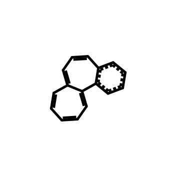 C1=CC=C2C(=CC=Cc3ccccc32)C=C1